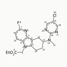 CCOC(=O)Cn1c2c(c3nc(F)ccc31)CC(N(C)c1ncc(Cl)cn1)CC2